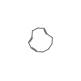 [CH]1/C=C\C=C\CC/C=C/CCC1